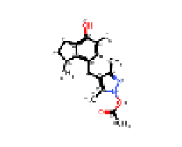 CC(=O)On1nc(C)c(Cc2cc(C)c(O)c3c2C(C)CC3)c1C